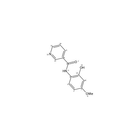 COc1ccc(NC(=O)c2cccnc2)c(O)c1